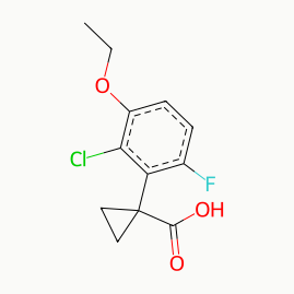 CCOc1ccc(F)c(C2(C(=O)O)CC2)c1Cl